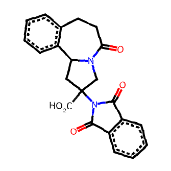 O=C1CCc2ccccc2C2CC(C(=O)O)(N3C(=O)c4ccccc4C3=O)CN12